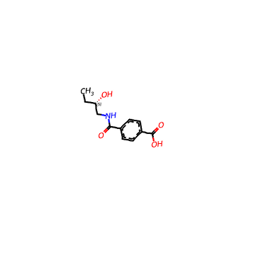 CC[C@H](O)CNC(=O)c1ccc(C(=O)O)cc1